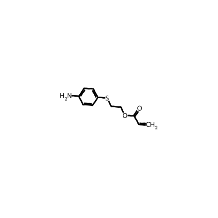 C=CC(=O)OCCSc1ccc(N)cc1